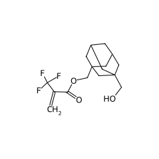 C=C(C(=O)OCC12CC3CC(CC(CO)(C3)C1)C2)C(F)(F)F